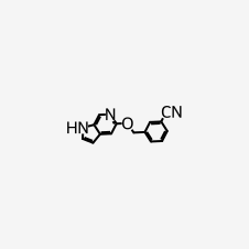 N#Cc1cccc(COc2cc3cc[nH]c3cn2)c1